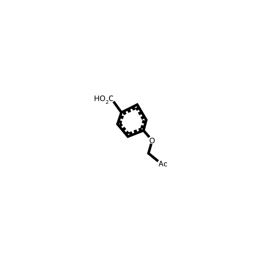 CC(=O)COc1ccc(C(=O)O)cc1